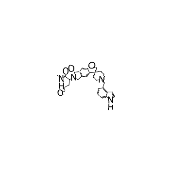 CNC(=O)C(CCC=O)N1Cc2cc3c(cc2C1=O)OCC31CCN(Cc2cccc3[nH]ccc23)CC1